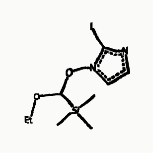 CCOC(On1ccnc1I)[Si](C)(C)C